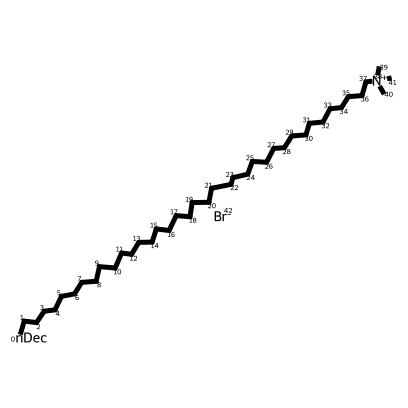 CCCCCCCCCCCCCCCCCCCCCCCCCCCCCCCCCCCCCCCCCCCCCCC[N+](C)(C)C.[Br-]